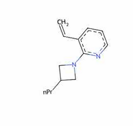 C=Cc1cccnc1N1CC(CCC)C1